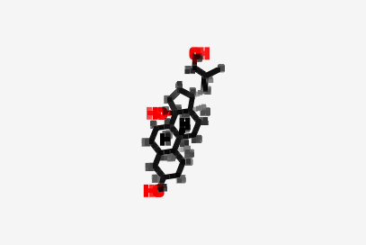 C/C(=C/[C@H]1CC[C@@]2(O)[C@@H]3CCC4CC(O)CC[C@]4(C)[C@H]3CC[C@]12C)CO